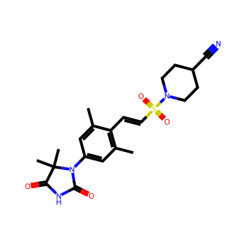 Cc1cc(N2C(=O)NC(=O)C2(C)C)cc(C)c1C=CS(=O)(=O)N1CCC(C#N)CC1